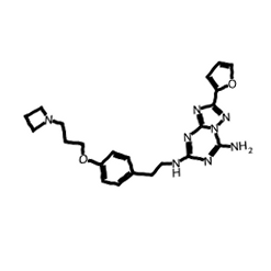 Nc1nc(NCCc2ccc(OCCCN3CCC3)cc2)nc2nc(-c3ccco3)nn12